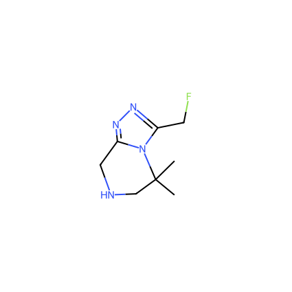 CC1(C)CNCc2nnc(CF)n21